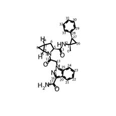 C[C@]1(NC(=O)[C@@H]2C[C@H]3C[C@H]3N2C(=O)Cn2nc(C(N)=O)c3ccccc32)C[C@@H]1c1ccccc1